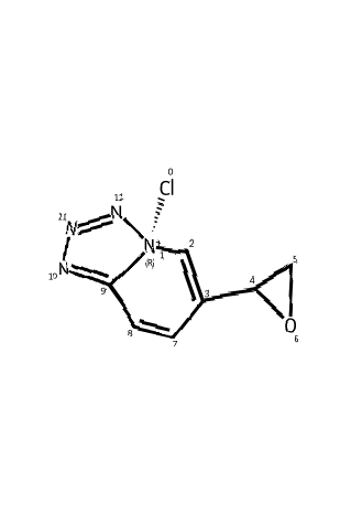 Cl[N@+]12C=C(C3CO3)C=CC1=NN=N2